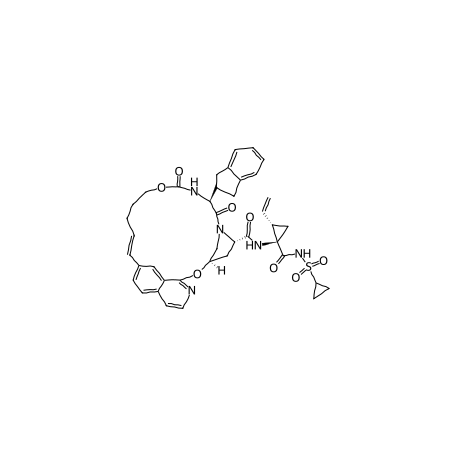 C=C[C@@H]1C[C@]1(NC(=O)[C@@H]1C[C@@H]2CN1C(=O)[C@H](C1Cc3ccccc3C1)NC(=O)OCCC/C=C/c1ccc3ccnc(c3c1)O2)C(=O)NS(=O)(=O)C1CC1